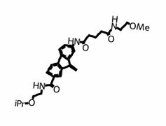 C=C1c2cc(NC(=O)CCCC(=O)NCCOC)ccc2-c2ccc(C(=O)NCCOC(C)C)cc21